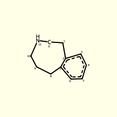 [C]1Cc2ccccc2CCCN1